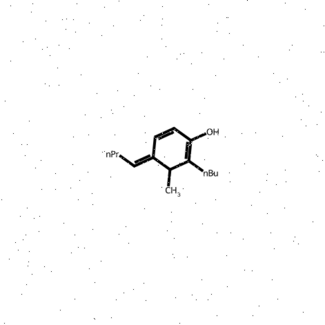 CCCC=C1C=CC(O)=C(CCCC)C1C